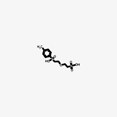 Cc1ccc(P(=O)(O)CCOCCS(=O)(=O)O)cc1